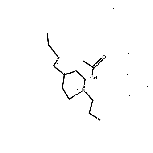 CC(=O)O.CCCCC1CCN(CCC)CC1